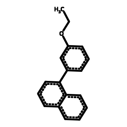 CCOc1cccc(-c2cccc3ccccc23)c1